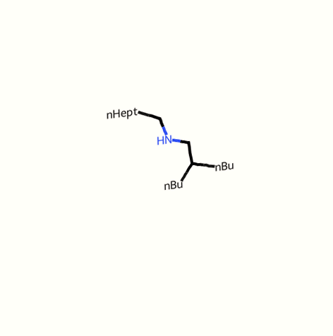 CCCCCCCCNCC(CCCC)CCCC